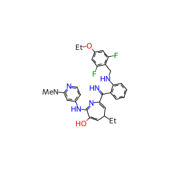 CCOc1cc(F)c(CNc2ccccc2C(=N)C2=CC(CC)C=C(O)C(Nc3ccnc(NC)c3)=N2)c(F)c1